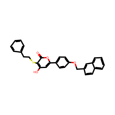 O=c1oc(-c2ccc(OCc3ccc4ccccc4c3)cc2)cc(O)c1SCCc1ccccc1